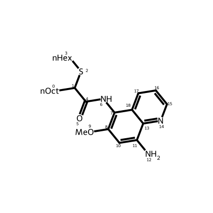 CCCCCCCCC(SCCCCCC)C(=O)Nc1c(OC)cc(N)c2ncccc12